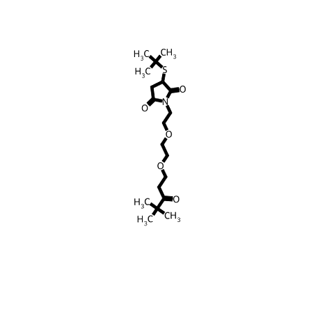 CC(C)(C)SC1CC(=O)N(CCOCCOCCC(=O)C(C)(C)C)C1=O